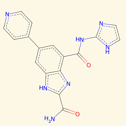 NC(=O)c1nc2c(C(=O)Nc3ncc[nH]3)cc(-c3ccncc3)cc2[nH]1